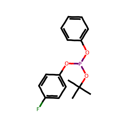 CC(C)(C)OP(Oc1ccccc1)Oc1ccc(F)cc1